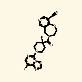 N#Cc1cncc2c1OCCN(C(=O)C1(F)CCN(c3ncc(F)c4ncnn34)CC1)C2